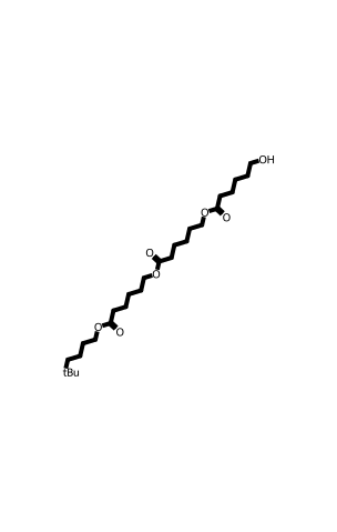 CC(C)(C)CCCCOC(=O)CCCCCOC(=O)CCCCCOC(=O)CCCCCO